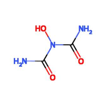 NC(=O)N(O)C(N)=O